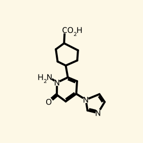 Nn1c(C2CCC(C(=O)O)CC2)cc(-n2ccnc2)cc1=O